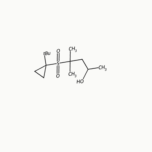 CC(O)CC(C)(C)S(=O)(=O)C1(C(C)(C)C)CC1